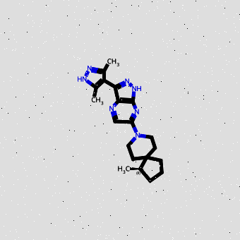 Cc1n[nH]c(C)c1-c1n[nH]c2nc(N3CCC4(CCC[C@H]4C)CC3)cnc12